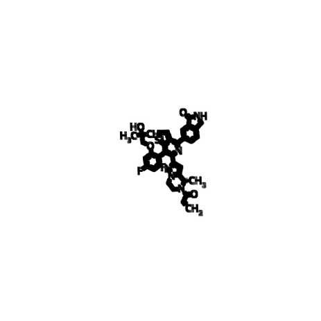 C=CC(=O)N1CCn2nc(-c3nc(-c4ccc5c(c4)C(=O)NC5)c4ccsc4c3-c3c(F)cc(F)cc3OCC(C)(C)O)cc2[C@H]1C